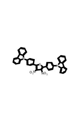 O=[N+]([O-])c1c(-c2ccc(-n3c4ccccc4c4ccccc43)cc2)sc(-c2ccc(-n3c4ccccc4c4ccccc43)cc2)c1[N+](=O)[O-]